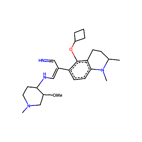 COC1CN(C)CCC1N/C=C(\C=N)c1ccc2c(c1OC1CCC1)CCC(C)N2C